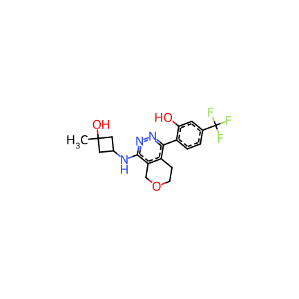 CC1(O)CC(Nc2nnc(-c3ccc(C(F)(F)F)cc3O)c3c2COCC3)C1